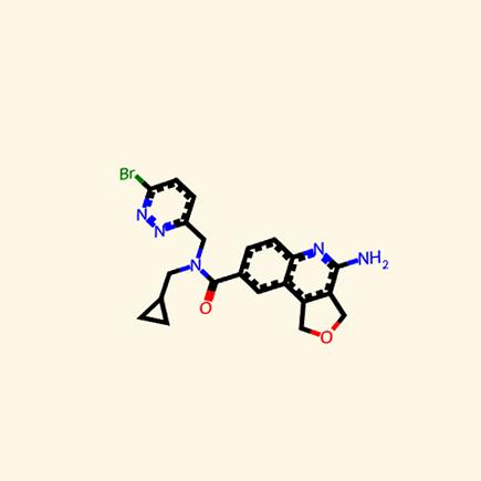 Nc1nc2ccc(C(=O)N(Cc3ccc(Br)nn3)CC3CC3)cc2c2c1COC2